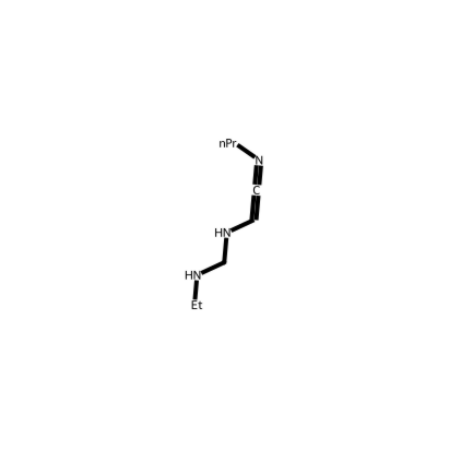 CCCN=C=CNCNCC